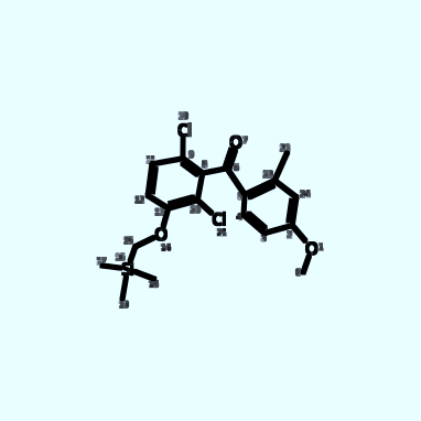 COc1ccc(C(=O)c2c(Cl)ccc(OC[Si](C)(C)C)c2Cl)c(C)c1